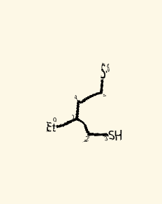 CCC(CS)CC[S]